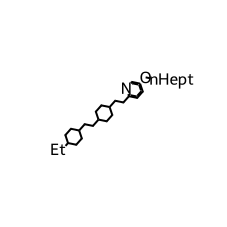 CCCCCCCOc1ccc(CCC2CCC(CCC3CCC(CC)CC3)CC2)nc1